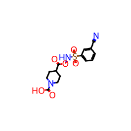 N#Cc1cccc(S(=O)(=O)NOC(=O)C2CCN(C(=O)O)CC2)c1